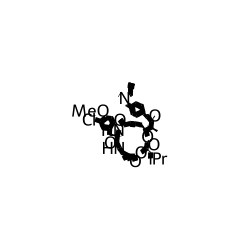 C#CCN(C)Cc1ccc([C@H]2O[C@@H]2[C@@H](C)[C@@H]2CC=CC(=O)N[C@H](Cc3ccc(OC)c(Cl)c3)C(=O)NCC(C)(C)C(=O)O[C@@H](CC(C)C)C(=O)O2)cc1